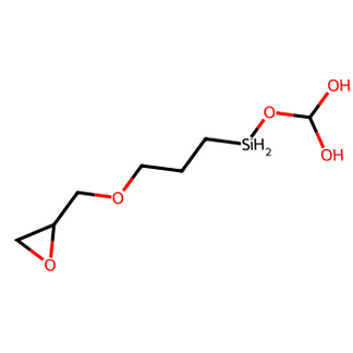 OC(O)O[SiH2]CCCOCC1CO1